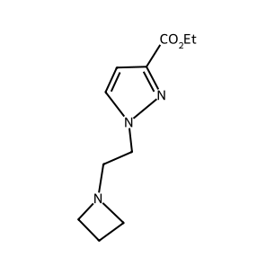 CCOC(=O)c1ccn(CCN2CCC2)n1